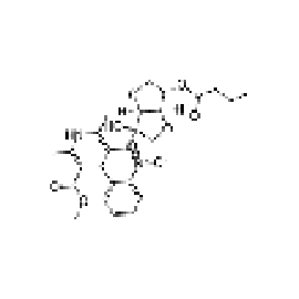 CCCC(=O)O[C@H]1CO[C@H]2[C@@H]1OC[C@]2(O)C(=O)C1=C(C)NC(C)=C(C(=O)OC)C1c1ccccc1[N+](=O)[O-]